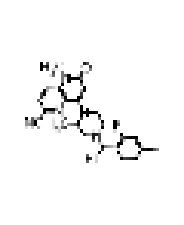 CCC(c1ccc(F)cc1F)N1CCN(c2cc(=O)n(C)c3ccc(C#N)nc23)C(C)C1